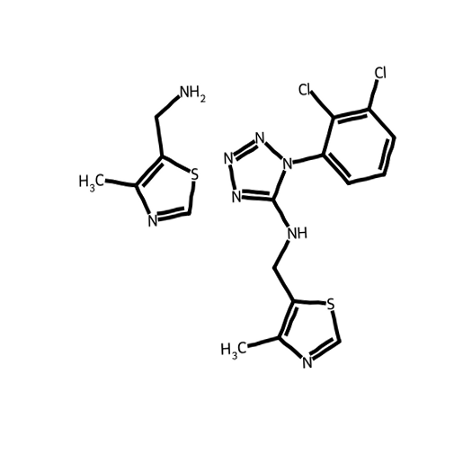 Cc1ncsc1CN.Cc1ncsc1CNc1nnnn1-c1cccc(Cl)c1Cl